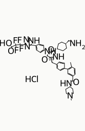 Cc1ccc(C(=O)NC2CCN(C)CC2)cc1-c1ccc(C[C@H](NC(=O)[C@H]2CC[C@H](CN)CC2)C(=O)Nc2ccc(-c3nc(C(F)(F)C(F)(F)C(=O)O)n[nH]3)cc2)cc1.Cl